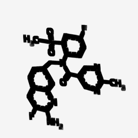 Cc1ncc(C(=O)N(Cc2ccc3cc(F)c(N)nc3c2)c2ccc(F)cc2S(C)(=O)=O)cn1